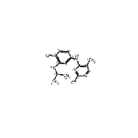 Cc1cnc(Cl)nc1Nc1ccc(Cl)c(OC(C)C)c1